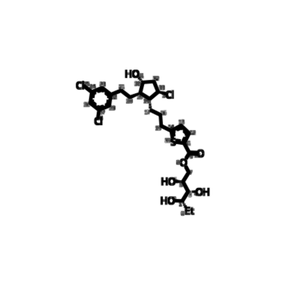 CC[C@H](O)[C@@H](O)[C@@H](O)COC(=O)c1ccc(CCC[C@@H]2[C@@H](CCc3cc(Cl)cc(Cl)c3)[C@H](O)C[C@H]2Cl)s1